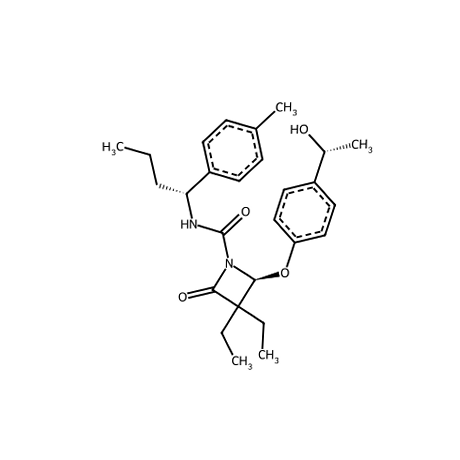 CCC[C@@H](NC(=O)N1C(=O)C(CC)(CC)[C@@H]1Oc1ccc([C@@H](C)O)cc1)c1ccc(C)cc1